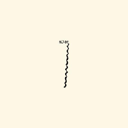 C=CC=CC=CC=CC=CC=CC=CCCCCCCCCCCCCCCCC